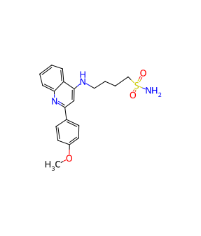 COc1ccc(-c2cc(NCCCCS(N)(=O)=O)c3ccccc3n2)cc1